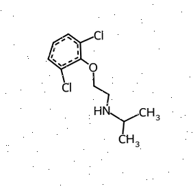 CC(C)NCCOc1c(Cl)cccc1Cl